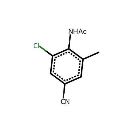 CC(=O)Nc1c(C)cc(C#N)cc1Cl